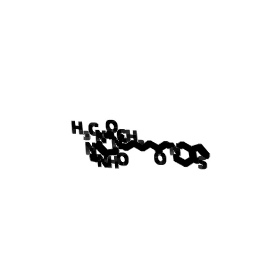 CN1C(=O)[N+](C)(CCCCC(=O)CN2CCc3sccc3C2)C(=O)c2[nH]cnc21